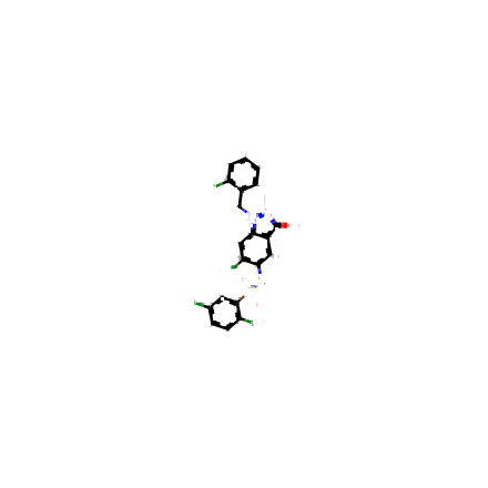 O=c1[nH]n(Cc2ccccc2Cl)c2cc(Cl)c(NS(=O)(=O)c3cc(Cl)ccc3F)cc12